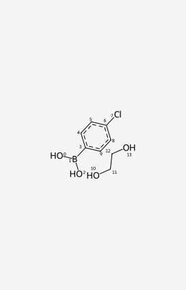 OB(O)c1ccc(Cl)cc1.OCCO